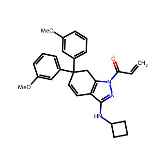 C=CC(=O)n1nc(NC2CCC2)c2c1CC(c1cccc(OC)c1)(c1cccc(OC)c1)C=C2